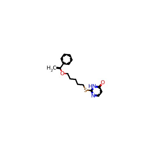 C=C(OCCCCCSc1nccc(=O)[nH]1)c1ccccc1